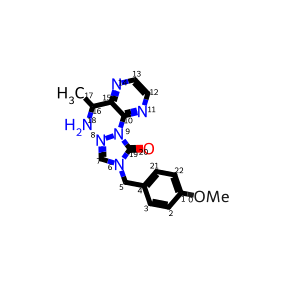 COc1ccc(Cn2cnn(-c3nccnc3C(C)N)c2=O)cc1